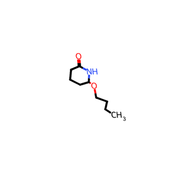 CCCCOC1CCCC(=O)N1